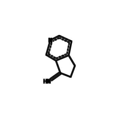 N=C1CCc2ccncc21